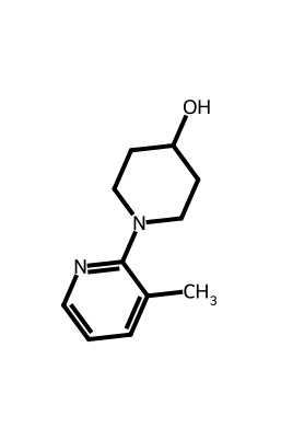 Cc1cccnc1N1CCC(O)CC1